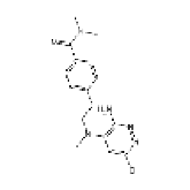 CN(C)C(=O)c1ccc(CCN(C)c2cc(Cl)nnc2N)cc1